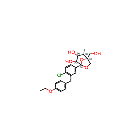 CCOc1ccc(Cc2cc([C@]34OC[C@](CO)(O3)[C@@H](C)[C@H](O)[C@@H]4O)ccc2Cl)cc1